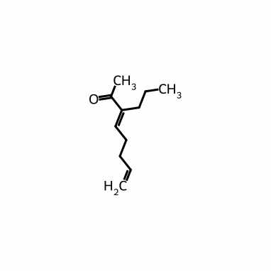 C=CCC/C=C(\CCC)C(C)=O